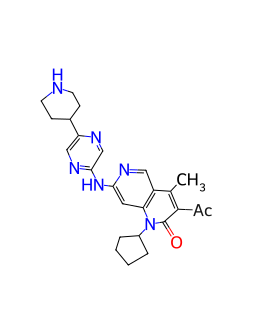 CC(=O)c1c(C)c2cnc(Nc3cnc(C4CCNCC4)cn3)cc2n(C2CCCC2)c1=O